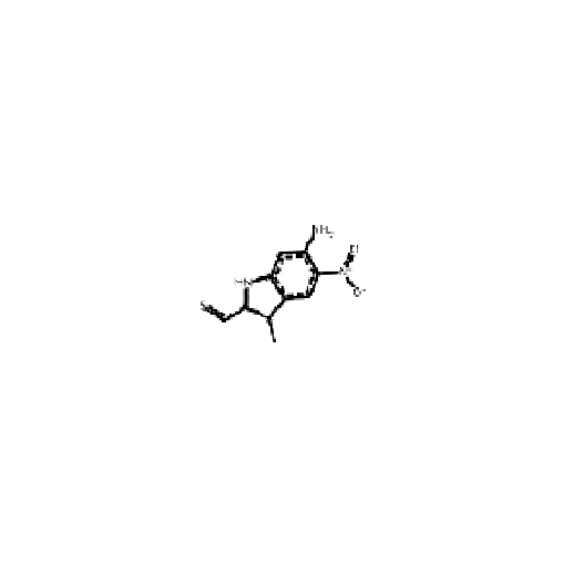 CC1c2cc([N+](=O)[O-])c(N)cc2NC1C=S